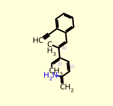 C#Cc1ccccc1/C=C(C)/C(/C=C\C(=C)N)=C/C